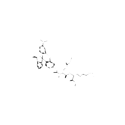 CCC(=O)SC[C@@H](C(=O)N[C@@H](CCCCN)C(=O)OC)N(C)C(=O)Oc1ccc2c(c1)Oc1cc(N(C)C)ccc1C21OC(=O)c2ccccc21